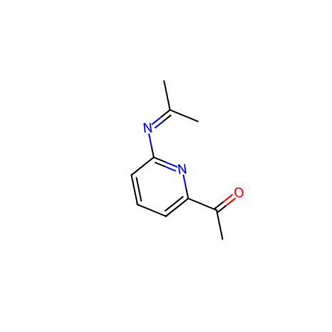 CC(=O)c1cccc(N=C(C)C)n1